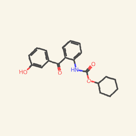 O=C(Nc1ccccc1C(=O)c1cccc(O)c1)OC1CCCCC1